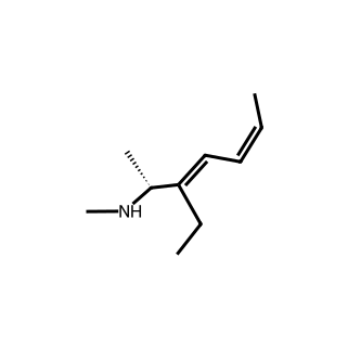 C/C=C\C=C(/CC)[C@@H](C)NC